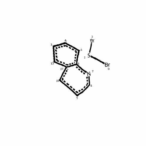 BrSBr.c1ccc2ncccc2c1